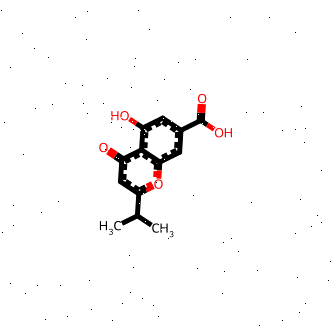 CC(C)c1cc(=O)c2c(O)cc(C(=O)O)cc2o1